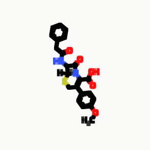 COc1ccc(C2=C(C(=O)O)N3C(=O)C(NC(=O)Cc4ccccc4)[C@H]3SC2)cc1